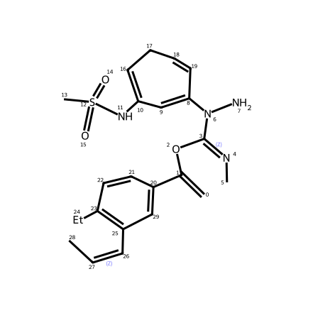 C=C(O/C(=N\C)N(N)C1=CC(NS(C)(=O)=O)=CCC=C1)c1ccc(CC)c(/C=C\C)c1